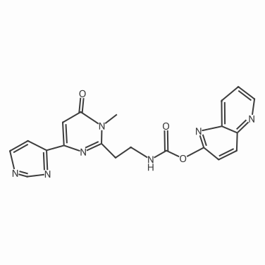 Cn1c(CCNC(=O)Oc2ccc3ncccc3n2)nc(-c2ccncn2)cc1=O